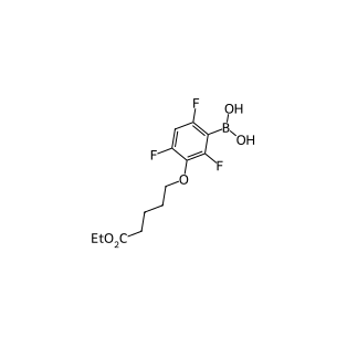 CCOC(=O)CCCCOc1c(F)cc(F)c(B(O)O)c1F